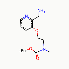 CN(CCOc1cccnc1CN)C(=O)OC(C)(C)C